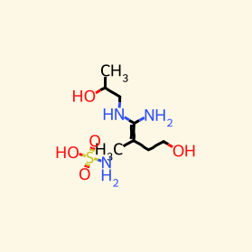 CC(CCO)=C(N)NCC(C)O.NS(=O)(=O)O